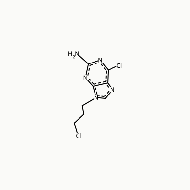 Nc1nc(Cl)c2ncn(CCCCl)c2n1